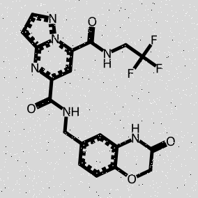 O=C1COc2ccc(CNC(=O)c3cc(C(=O)NCC(F)(F)F)n4nccc4n3)cc2N1